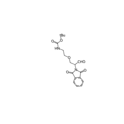 CC(C)(C)OC(=O)NCCOCC(C=O)N1C(=O)c2ccccc2C1=O